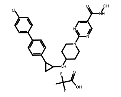 O=C(NO)c1cnc(N2CCC(NC3CC3c3ccc(-c4ccc(Cl)cc4)cc3)CC2)nc1.O=C(O)C(F)(F)F